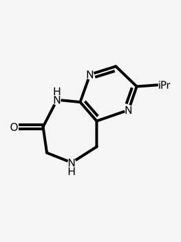 CC(C)c1cnc2c(n1)CNCC(=O)N2